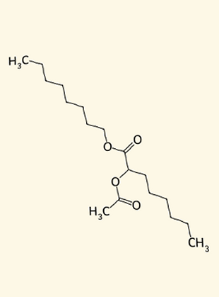 CCCCCCCCOC(=O)C(CCCCCC)OC(C)=O